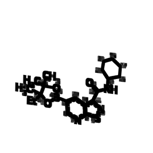 CCC1(C)OB(c2cnc3snc(C(=O)NC4CCCCC4)c3c2)OC1(C)C